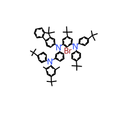 Cc1cc(C(C)(C)C)cc(C)c1N(c1ccc(C(C)(C)C)cc1)c1cccc(N(c2ccc3c(c2)C(C)(C)c2ccccc2-3)c2cc(C(C)(C)C)cc(N(c3ccc(C(C)(C)C)cc3)c3ccc(C(C)(C)C)cc3)c2Br)c1